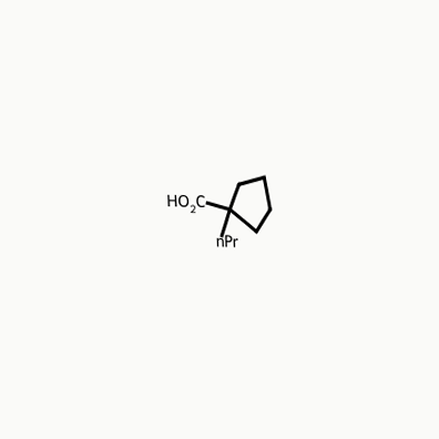 CCCC1(C(=O)O)CCCC1